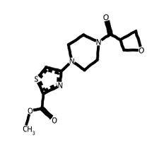 COC(=O)c1nc(N2CCN(C(=O)C3COC3)CC2)cs1